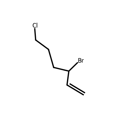 C=CC(Br)CCCCl